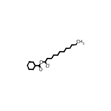 CCCCCCCCCCCC(Cl)OC(=O)C1CCCCC1